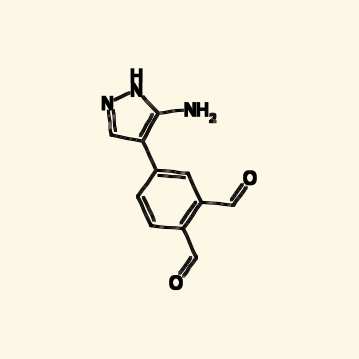 Nc1[nH]ncc1-c1ccc(C=O)c(C=O)c1